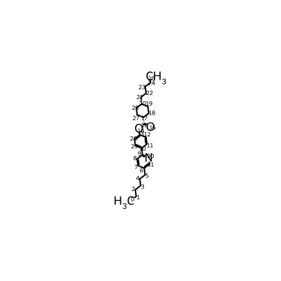 CCCCCCc1ccc(-c2ccc(OC(=O)[C@H]3CC[C@H](CCCCC)CC3)cc2)nc1